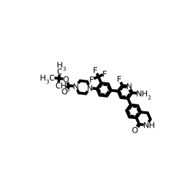 CC(C)(C)OC(=O)N1CCN(c2ccc(-c3cc(-c4ccc5c(c4)CCNC5=O)c(N)nc3F)cc2C(F)(F)F)CC1